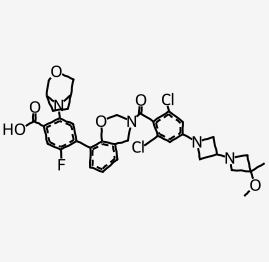 COC1(C)CN(C2CN(c3cc(Cl)c(C(=O)N4COc5c(cccc5-c5cc(N6C7CCC6COC7)c(C(=O)O)cc5F)C4)c(Cl)c3)C2)C1